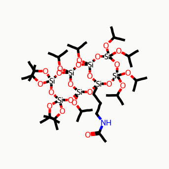 CC(=O)NCCC[Si]12O[Si](OC(C)C)(OC(C)C)O[Si](OC(C)C)(OC(C)C)O[Si](OC(C)C)(O1)O[Si]1(OC(C)C)O[Si](OC(C)C)(OC(C)C)O[Si](OC(C)C)(OC(C)C)O[Si](OC(C)C)(O2)O1